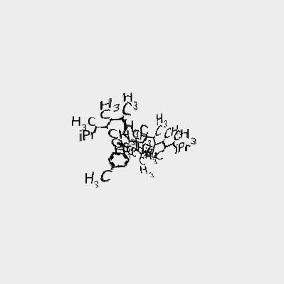 CCC(C)C(C)C(C)C(C)(C(C)C(C)C(C)C(C)C(C)C(C)C(C)C(C)C)C(CCC(C)C(C)C(C)C(C)C(C)C)S(=O)(=O)c1ccc(C)cc1